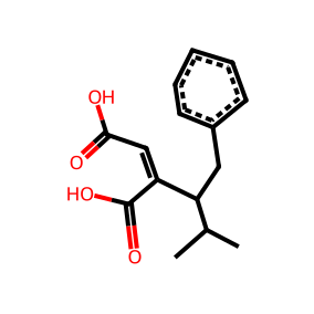 CC(C)C(Cc1ccccc1)C(=CC(=O)O)C(=O)O